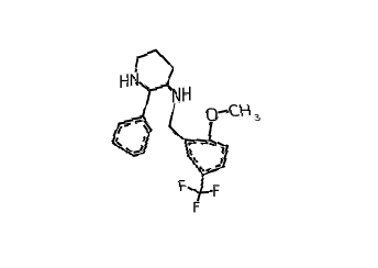 COc1ccc(C(F)(F)F)cc1CNC1CCCNC1c1ccccc1